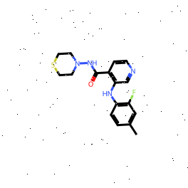 Cc1ccc(Nc2cnccc2C(=O)NN2CCSCC2)c(F)c1